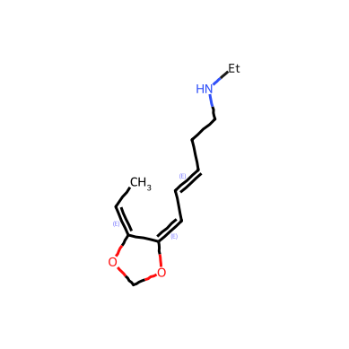 C/C=C1/OCO/C1=C/C=C/CCNCC